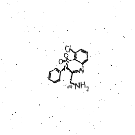 C[C@@H](N)C1=Nc2cccc(Cl)c2S(=O)(=O)N1c1ccccc1